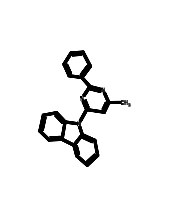 Cc1cc(-n2c3ccccc3c3ccccc32)nc(-c2ccccc2)n1